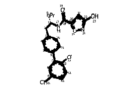 CCC[C@@H](Cc1ccc(-c2cc(Cl)ccc2Cl)cc1)NC(=O)c1cc(O)no1